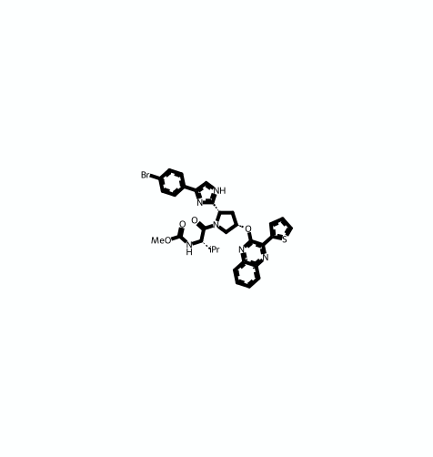 COC(=O)N[C@H](C(=O)N1C[C@@H](Oc2nc3ccccc3nc2-c2cccs2)C[C@H]1c1nc(-c2ccc(Br)cc2)c[nH]1)C(C)C